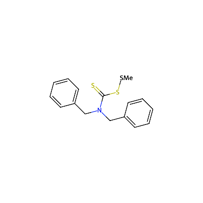 CSSC(=S)N(Cc1ccccc1)Cc1ccccc1